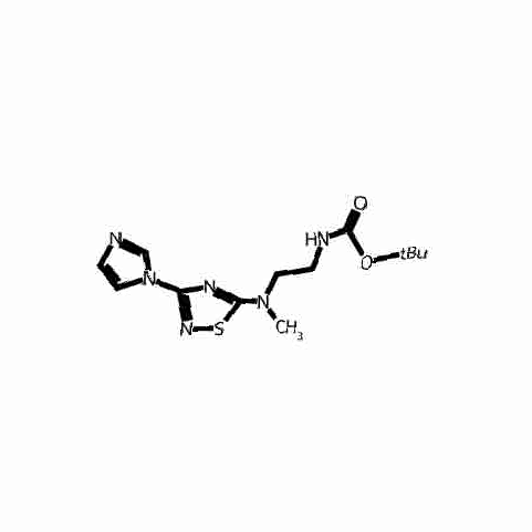 CN(CCNC(=O)OC(C)(C)C)c1nc(-n2ccnc2)ns1